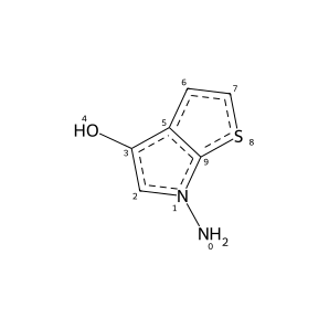 Nn1cc(O)c2ccsc21